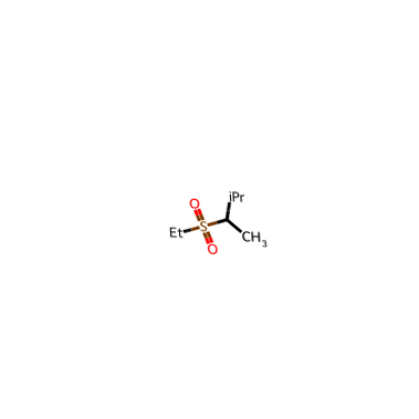 CCS(=O)(=O)C(C)C(C)C